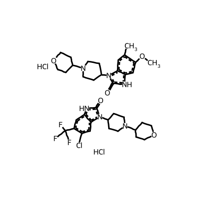 COc1cc2[nH]c(=O)n(C3CCN(C4CCOCC4)CC3)c2cc1C.Cl.Cl.O=c1[nH]c2cc(C(F)(F)F)c(Cl)cc2n1C1CCN(C2CCOCC2)CC1